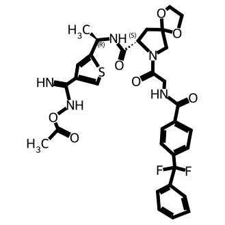 CC(=O)ONC(=N)c1csc([C@@H](C)NC(=O)[C@@H]2CC3(CN2C(=O)CNC(=O)c2ccc(C(F)(F)c4ccccc4)cc2)OCCO3)c1